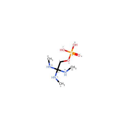 CNC(COP(=O)(O)O)(NC)NC